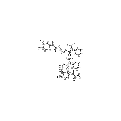 CC(C)N(C(=O)CCl)c1ccccc1.CC(C)N(C(=O)CCl)c1ccccc1.CCC(=O)Nc1ccc(Cl)c(Cl)c1.CCC(=O)Nc1ccc(Cl)c(Cl)c1